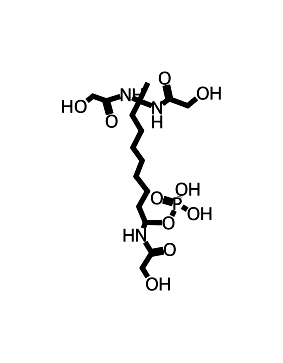 CC(CCCCCCCC(NC(=O)CO)OP(=O)(O)O)(NC(=O)CO)NC(=O)CO